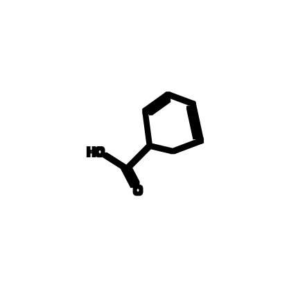 O=C(O)C1C=CC=CC1